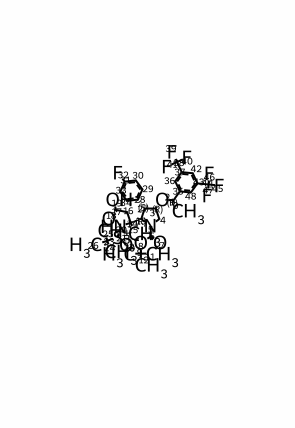 C[C@@H](O[C@H]1CN(C(=O)OC(C)(C)C)[C@@H](C(C)(CC(=O)O)N[S+]([O-])C(C)(C)C)[C@@H]1c1ccc(F)cc1)c1cc(C(F)(F)F)cc(C(F)(F)F)c1